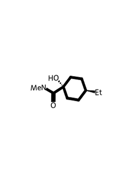 CC[C@H]1CC[C@@](O)(C(=O)NC)CC1